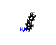 N[C@@H]1CC[C@H]2CN(Cc3cccc(C(F)(F)F)c3)CC21